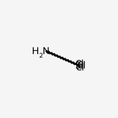 NCCCCCCCCCCCCCCCCCCCCCCC[Si](Cl)(Cl)Cl